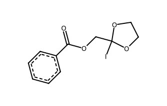 O=C(OCC1(I)OCCO1)c1ccccc1